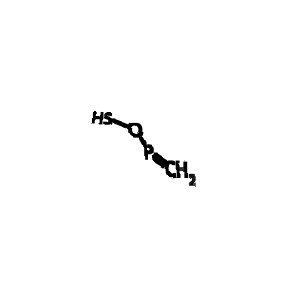 C=POS